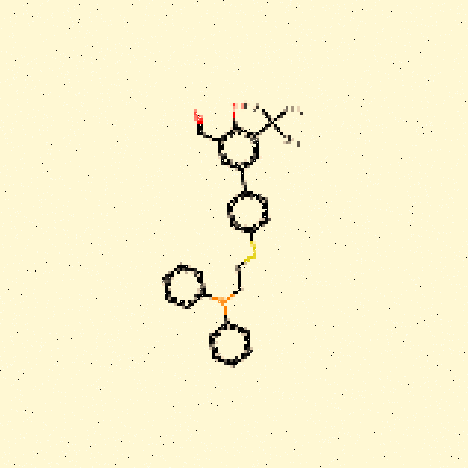 CC(C)(C)c1cc(-c2ccc(SCCP(c3ccccc3)c3ccccc3)cc2)cc(C=O)c1O